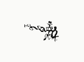 C#Cc1cc(F)ccc1C1N=C(c2nccs2)NC(CN2CCO[C@H](/C=C/C(=O)O)C2)=C1C(=O)OCC